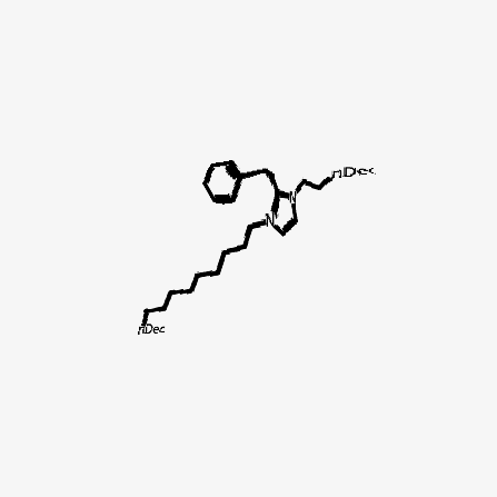 CCCCCCCCCCCCCCCCCCC[n+]1ccn(CCCCCCCCCCCC)c1Cc1ccccc1